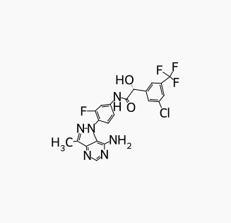 Cc1nn(-c2ccc(NC(=O)[C@H](O)c3cc(Cl)cc(C(F)(F)F)c3)cc2F)c2c(N)ncnc12